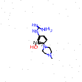 CN1CCN(c2ccc(NC(=N)N)cc2)CC1.O=[N+]([O-])O